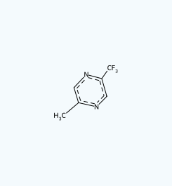 Cc1cnc(C(F)(F)F)cn1